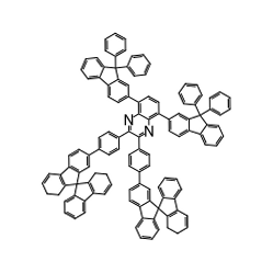 C1=CC2=C(CC1)C1(C3=C(C=CCC3)c3ccc(-c4ccc(-c5nc6c(-c7ccc8c(c7)C(c7ccccc7)(c7ccccc7)c7ccccc7-8)ccc(-c7ccc8c(c7)C(c7ccccc7)(c7ccccc7)c7ccccc7-8)c6nc5-c5ccc(-c6ccc7c(c6)C6(C8=C(C=CCC8)c8ccccc86)c6ccccc6-7)cc5)cc4)cc31)c1ccccc12